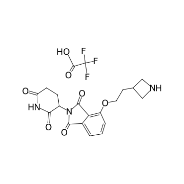 O=C(O)C(F)(F)F.O=C1CCC(N2C(=O)c3cccc(OCCC4CNC4)c3C2=O)C(=O)N1